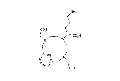 NCCCC(C(=O)O)N1CCN(CC(=O)O)Cc2cccc(n2)CN(CC(=O)O)CC1